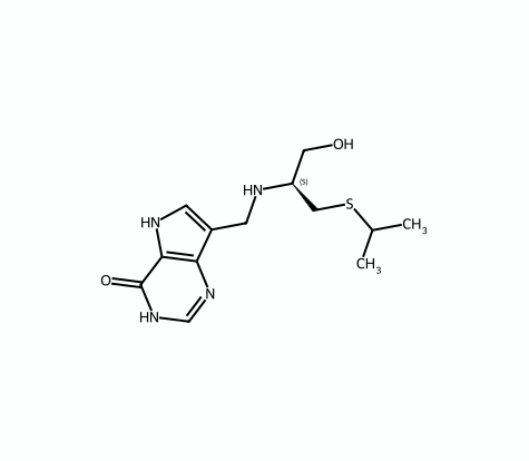 CC(C)SC[C@H](CO)NCc1c[nH]c2c(=O)[nH]cnc12